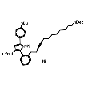 CCCCCCCCCCCCCCCCCCC#CCCc1ccccc1C1=C(CCCCC)C=C(c2ccc(CCCC)cc2)[N+]1=[N-].[Ni]